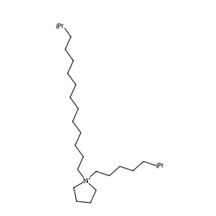 CC(C)CCCCCCCCCCCC[N+]1(CCCCCC(C)C)CCCC1